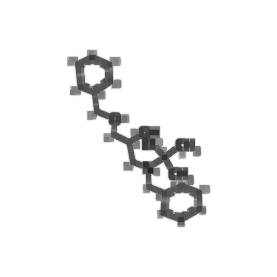 CCC(C)(C)N(Cc1ccccc1)CC(O)COCc1ccccc1